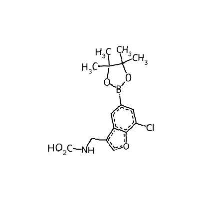 CC1(C)OB(c2cc(Cl)c3occ(CNC(=O)O)c3c2)OC1(C)C